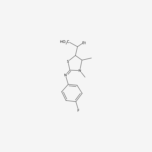 CCC(C(=O)O)C1SC(=Nc2ccc(F)cc2)N(C)C1C